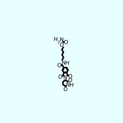 NC(=O)OCCCCCCNC(=O)c1ccc2c(c1)C(=O)N(C1CCC(=O)NC1=O)C2=O